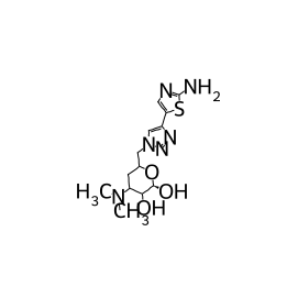 CN(C)C1CC(Cn2cc(-c3cnc(N)s3)nn2)O[C@@H](O)C1O